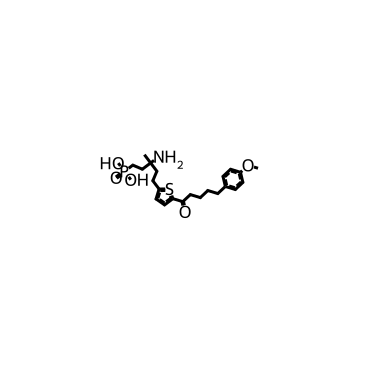 COc1ccc(CCCCC(=O)c2ccc(CCC(C)(N)CCP(=O)(O)O)s2)cc1